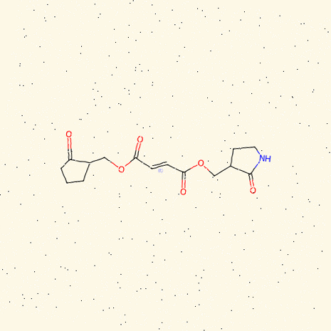 O=C(/C=C/C(=O)OCC1CCNC1=O)OCC1CCCC1=O